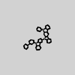 C1=C2c3ccccc3N(c3ccccc3)C2Cc2c1c1ccccc1n2-c1ccc2c(c1)c1ccccc1n2-c1cccc(-c2ccccc2)c1